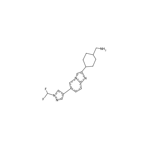 NCC1CCC(c2cn3cc(-c4cnn(C(F)F)c4)ccc3n2)CC1